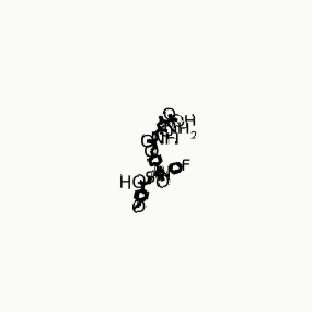 COc1ccc(C(O)CS[C@H]2C(=O)N(c3ccc(F)cc3)[C@@H]2c2ccc(OCC(=O)NCC(=O)CC(C)[C@@H](N)C(=O)O)cc2)cc1